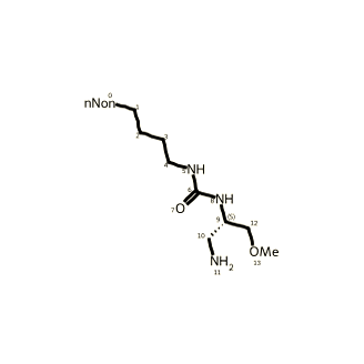 CCCCCCCCCCCCCNC(=O)N[C@@H](CN)COC